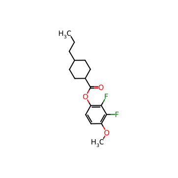 CCCC1CCC(C(=O)Oc2ccc(OC)c(F)c2F)CC1